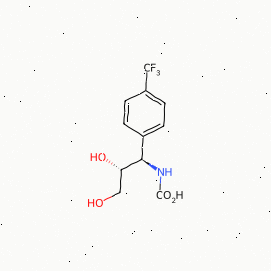 O=C(O)N[C@H](c1ccc(C(F)(F)F)cc1)[C@@H](O)CO